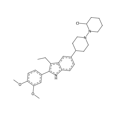 CCc1c(-c2ccc(OC)c(OC)c2)[nH]c2ccc(C3CCN(N4CCCCC4Cl)CC3)cc12